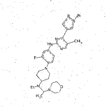 CCN(C1CCN(c2ccc(Nc3ncc(C)c(-c4cnn(C(C)C)c4)n3)cc2F)CC1)C(C)N1CCOCC1